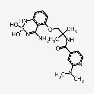 CN(C)c1cc(C(=O)NC(C)(C)COc2cccc3c2C(N)=NS(O)(O)N3)ccn1